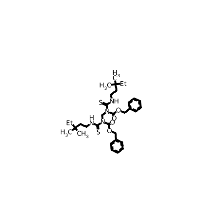 CCC(C)(C)CCNC(=S)N(CN(C(=O)OCc1ccccc1)C(=S)NCCC(C)(C)CC)C(=O)OCc1ccccc1